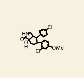 COc1ccc(C2CCC3(O)C(=O)NCC3C2c2ccc(Cl)cc2)c(Cl)c1